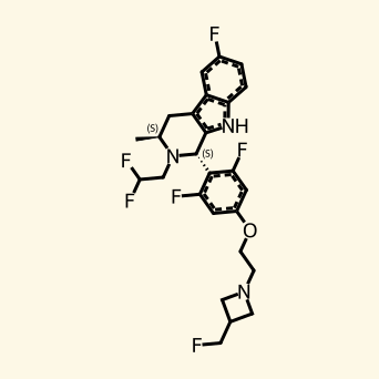 C[C@H]1Cc2c([nH]c3ccc(F)cc23)[C@H](c2c(F)cc(OCCN3CC(CF)C3)cc2F)N1CC(F)F